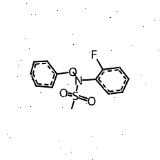 CS(=O)(=O)N(Oc1ccccc1)c1ccccc1F